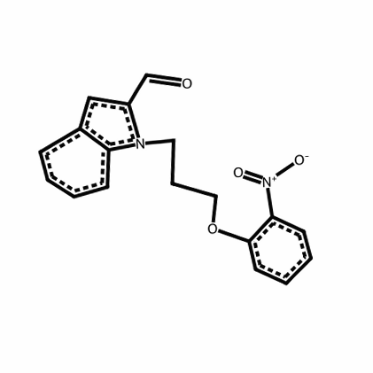 O=Cc1cc2ccccc2n1CCCOc1ccccc1[N+](=O)[O-]